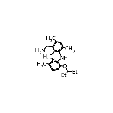 CCC(CC)Oc1ccc(C)nc1Nc1c(C)cc(C)c(CN)c1C